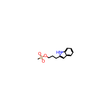 CS(=O)(=O)OCCCc1cc2ccccc2[nH]1